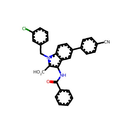 N#Cc1ccc(-c2ccc3c(c2)c(NC(=O)c2ccccc2)c(C(=O)O)n3Cc2cccc(Cl)c2)cc1